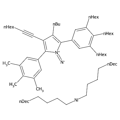 CCCCCCC#CC1=C(c2cc(C)c(C)c(C)c2)[N+](=[N-])C(c2cc(CCCCCC)c(CCCCCC)c(CCCCCC)c2)=C1CCCC.CCCCCCCCCCCCC[CH2][Ni][CH2]CCCCCCCCCCCCC